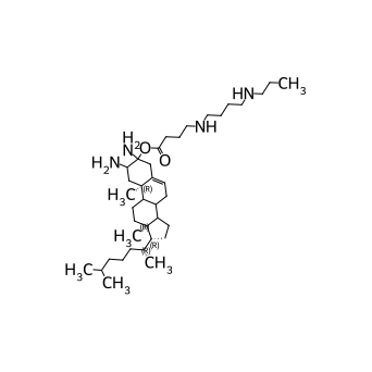 CCCNCCCCNCCCC(=O)OC1(N)CC2=CCC3C(CC[C@@]4(C)C3CC[C@@H]4[C@H](C)CCCC(C)C)[C@@]2(C)CC1N